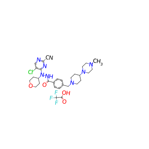 CN1CCN(C2CCN(Cc3ccc(C(=O)NN(c4nc(C#N)ncc4Cl)C4CCOCC4)cc3)CC2)CC1.O=C(O)C(F)(F)F